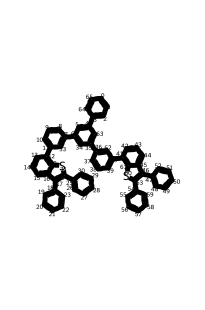 c1ccc(-c2cc(-c3cccc(-c4cccc5c(-c6ccccc6)c(-c6ccccc6)sc45)c3)cc(-c3cccc(-c4cccc5c(-c6ccccc6)c(-c6ccccc6)sc45)c3)c2)cc1